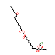 CCCCCC(OC(=O)CCl)C(O)C/C=C\CCCCCCCC(=O)OCOC(=O)CCCCCCC/C=C\C[C@@H]1O[C@@H]1CCCCC